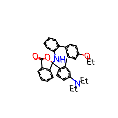 CCOc1ccc(-c2ccccc2NC2(c3ccc(N(CC)CC)cc3C)OC(=O)c3ccccc32)cc1